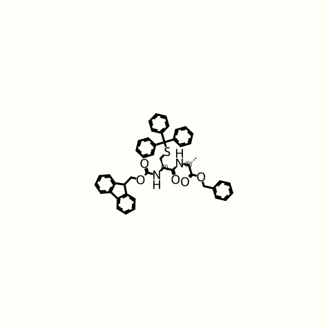 C[C@@H](NC(=O)[C@H](CSC(c1ccccc1)(c1ccccc1)c1ccccc1)NC(=O)OCC1c2ccccc2-c2ccccc21)C(=O)OCc1ccccc1